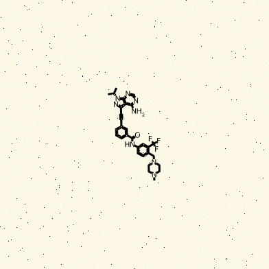 CC(C)n1nc(C#Cc2cccc(C(=O)Nc3ccc(CN4CCN(C)CC4)c(C(F)(F)F)c3)c2)c2c(N)ncnc21